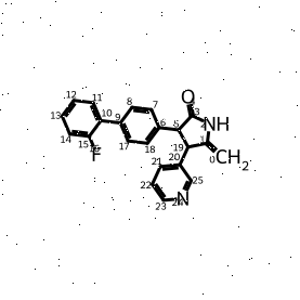 C=C1NC(=O)C(c2ccc(-c3ccccc3F)cc2)C1c1cccnc1